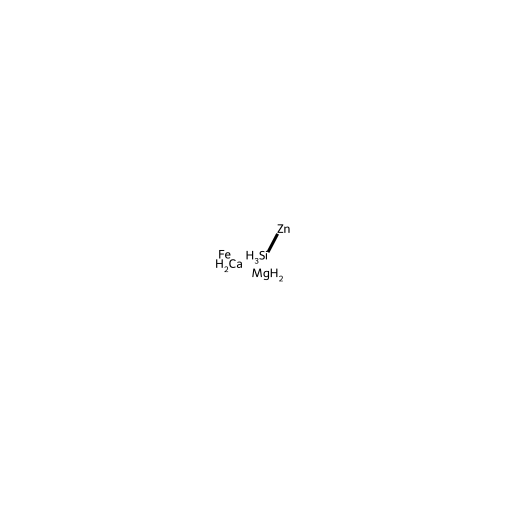 [CaH2].[Fe].[MgH2].[SiH3][Zn]